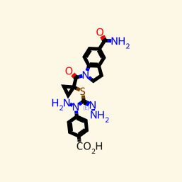 N/N=C(/SC1(C(=O)N2CCc3cc(C(N)=O)ccc32)CC1)N(N)c1ccc(C(=O)O)cc1